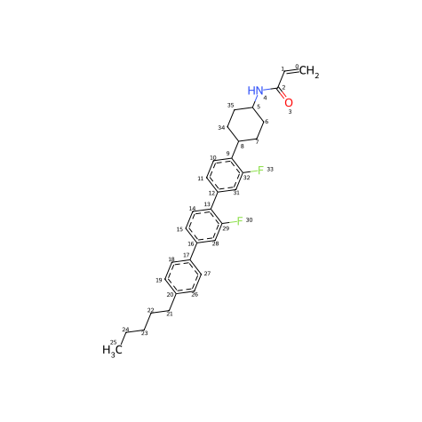 C=CC(=O)NC1CCC(c2ccc(-c3ccc(-c4ccc(CCCCC)cc4)cc3F)cc2F)CC1